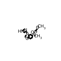 COCCOC(=O)N(C)c1ccc2c(c1)N(Cc1c[nH]cn1)CCO2